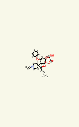 CCCC(=O)C1(c2ccccc2Oc2ccccc2)CCN(C)CC1.O=C(O)C(=O)O